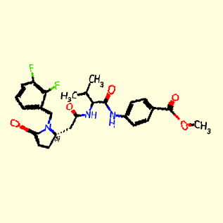 COC(=O)c1ccc(NC(=O)C(NC(=O)C[C@@H]2CCC(=O)N2Cc2cccc(F)c2F)C(C)C)cc1